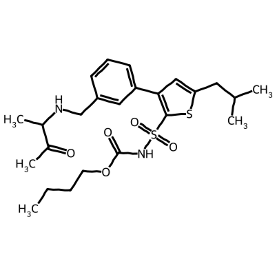 CCCCOC(=O)NS(=O)(=O)c1sc(CC(C)C)cc1-c1cccc(CNC(C)C(C)=O)c1